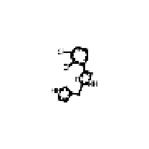 Clc1cccc(-c2c[nH]c(Cc3cc[nH]c3)n2)c1Cl